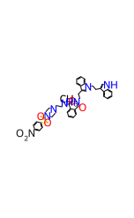 CN(CCN1CCN(S(=O)(=O)c2ccc([N+](=O)[O-])cc2)CC1)C(=O)c1ccccc1C(=O)NCCc1cn(CCc2c[nH]c3ccccc23)c2ccccc12